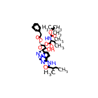 CC[C@@H](C)C(=O)Nc1ncnn2c([C@]3(C#N)O[C@H](COC(=O)Cc4ccccc4)[C@@H](OC(=O)[C@@H](NC(=O)OC(C)(C)C)C(C)C)[C@H]3O)ccc12